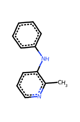 Cc1ncccc1Nc1ccccc1